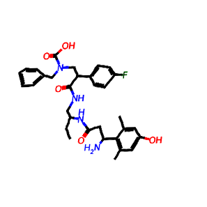 CCC(CNC(=O)C(CN(Cc1ccccc1)C(=O)O)c1ccc(F)cc1)NC(=O)CC(N)c1c(C)cc(O)cc1C